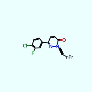 CCCC#Cn1nc(-c2ccc(Cl)c(F)c2)ccc1=O